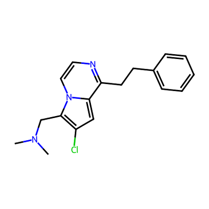 CN(C)Cc1c(Cl)cc2c(CCc3ccccc3)nccn12